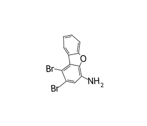 Nc1cc(Br)c(Br)c2c1oc1ccccc12